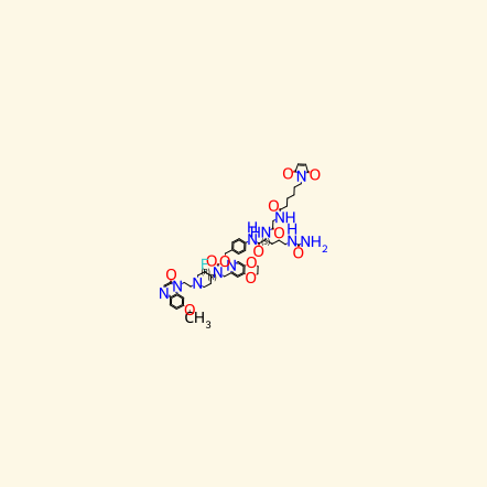 COc1ccc2ncc(=O)n(CCN3CC[C@@H](N(Cc4cc5c(cn4)OCCO5)C(=O)OCc4ccc(NC(=O)[C@H](CCCNC(N)=O)NC(=O)CNC(=O)CCCCCN5C(=O)C=CC5=O)cc4)[C@H](F)C3)c2c1